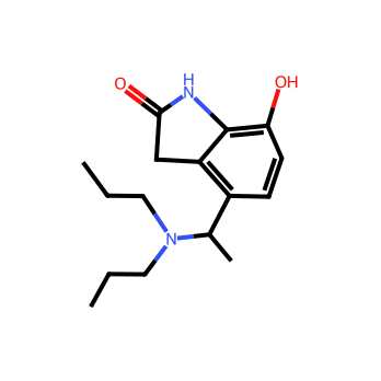 CCCN(CCC)C(C)c1ccc(O)c2c1CC(=O)N2